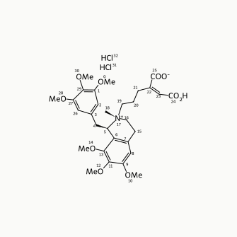 COc1cc(C[C@@H]2c3c(cc(OC)c(OC)c3OC)CC[N@@+]2(C)CCCC(=CC(=O)O)C(=O)[O-])cc(OC)c1OC.Cl.Cl